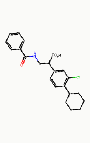 O=C(NCC(C(=O)O)c1ccc(C2CCCCC2)c(Cl)c1)c1ccccc1